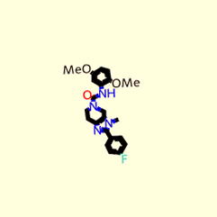 COc1ccc(OC)c(NC(=O)N2CCc3nc(-c4ccc(F)cc4)n(C)c3C2)c1